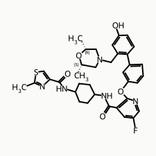 Cc1nc(C(=O)NC2CCC(NC(=O)c3cc(F)cnc3Oc3cccc(-c4ccc(O)cc4CN4C[C@@H](C)O[C@@H](C)C4)c3)CC2)cs1